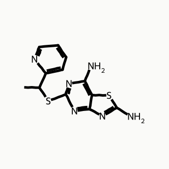 CC(Sc1nc(N)c2sc(N)nc2n1)c1ccccn1